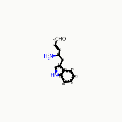 NC(C=CC=O)Cc1c[nH]c2ccccc12